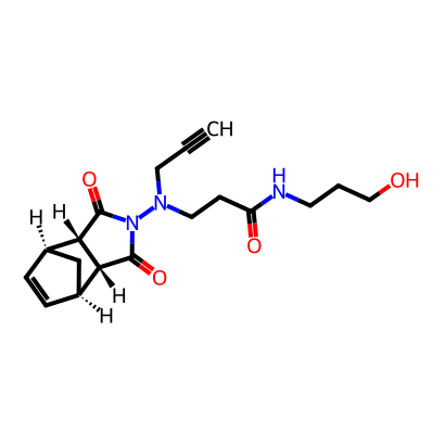 C#CCN(CCC(=O)NCCCO)N1C(=O)[C@@H]2[C@H](C1=O)[C@H]1C=C[C@@H]2C1